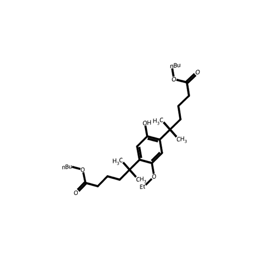 CCCCOC(=O)CCCC(C)(C)c1cc(OCC)c(C(C)(C)CCCC(=O)OCCCC)cc1O